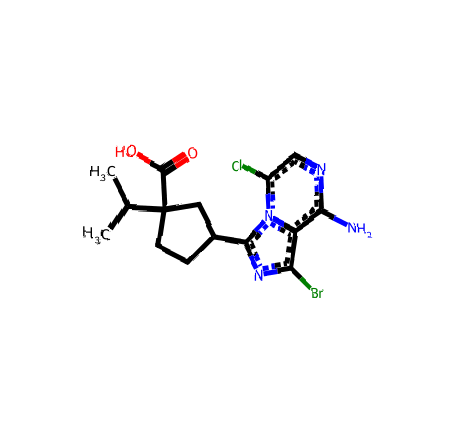 CC(C)C1(C(=O)O)CCC(c2nc(Br)c3c(N)ncc(Cl)n23)C1